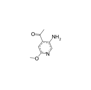 COc1cc(C(C)=O)c(N)cn1